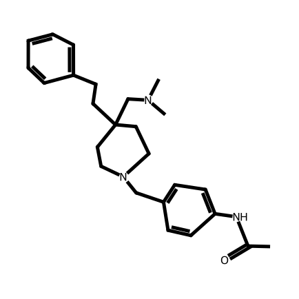 CC(=O)Nc1ccc(CN2CCC(CCc3ccccc3)(CN(C)C)CC2)cc1